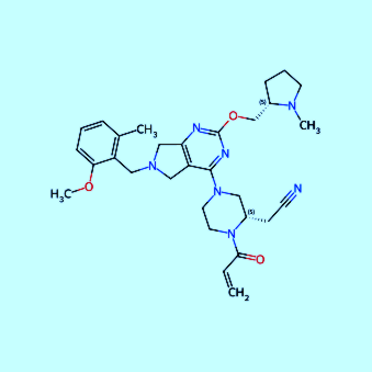 C=CC(=O)N1CCN(c2nc(OC[C@@H]3CCCN3C)nc3c2CN(Cc2c(C)cccc2OC)C3)C[C@@H]1CC#N